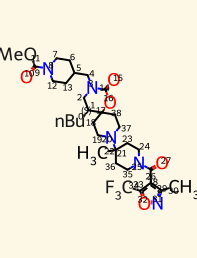 CCCC[C@H]1CN(CC2CCN(C(=O)OC)CC2)C(=O)OC12CCN(C1(C)CCN(C(=O)c3c(C)noc3C(F)(F)F)CC1)CC2